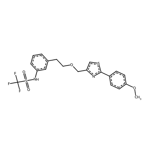 COc1ccc(-c2nc(COCCc3cccc(NS(=O)(=O)C(F)(F)F)c3)cs2)cc1